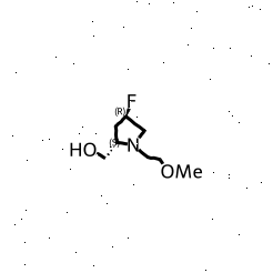 COCCN1C[C@H](F)C[C@H]1CO